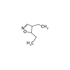 CCC1C=NOC1CC